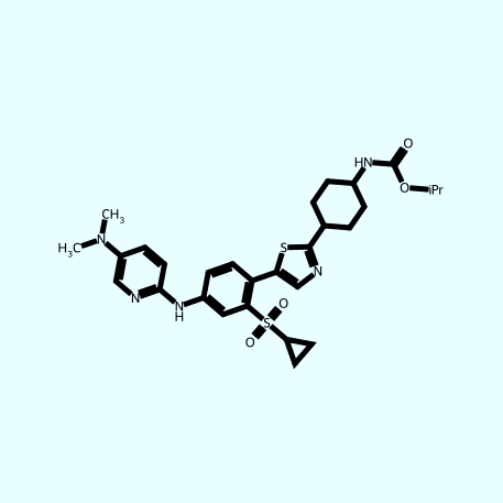 CC(C)OC(=O)NC1CCC(c2ncc(-c3ccc(Nc4ccc(N(C)C)cn4)cc3S(=O)(=O)C3CC3)s2)CC1